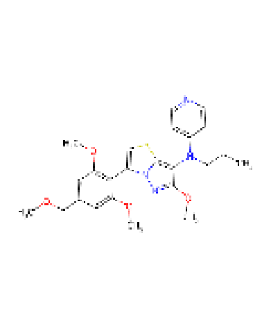 CCCN(c1ccncc1)c1c(OC)nn2c(-c3c(OC)cc(COC)cc3OC)csc12